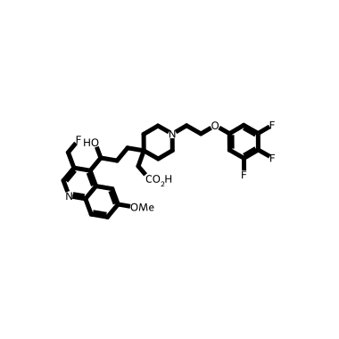 COc1ccc2ncc(CF)c(C(O)CCC3(CC(=O)O)CCN(CCOc4cc(F)c(F)c(F)c4)CC3)c2c1